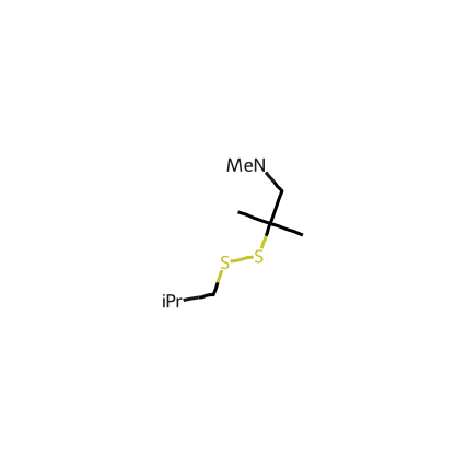 CNCC(C)(C)SSCC(C)C